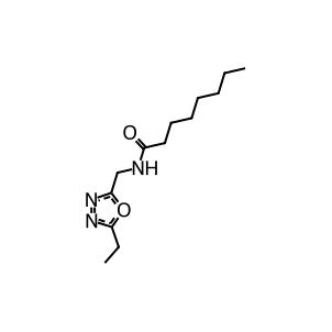 CCCCCCCC(=O)NCc1nnc(CC)o1